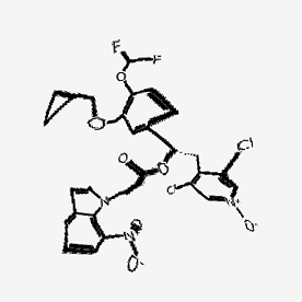 O=C(Cn1ccc2cccc([N+](=O)[O-])c21)O[C@@H](Cc1c(Cl)c[n+]([O-])cc1Cl)c1ccc(OC(F)F)c(OCC2CC2)c1